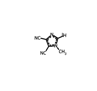 [2H]c1nc(C#N)c(C#N)n1C